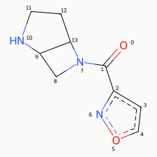 O=C(c1ccon1)N1CC2NCCC21